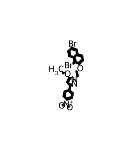 CCOc1cc(-c2ccc([N+](=O)[O-])cc2)nn1CCOc1ccc2cc(Br)ccc2c1Br